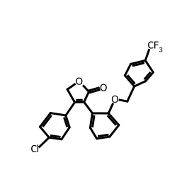 O=C1OCC(c2ccc(Cl)cc2)=C1c1ccccc1OCc1ccc(C(F)(F)F)cc1